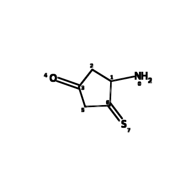 NC1CC(=O)CC1=S